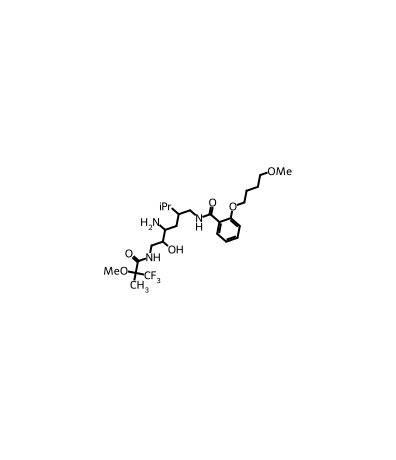 COCCCCOc1ccccc1C(=O)NCC(CC(N)C(O)CNC(=O)C(C)(OC)C(F)(F)F)C(C)C